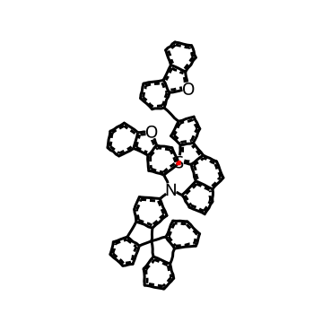 c1ccc2c(c1)-c1ccccc1C21c2ccccc2-c2ccc(N(c3ccc4oc5ccccc5c4c3)c3cccc4ccc5c6ccc(-c7cccc8c7oc7ccccc78)cc6sc5c34)cc21